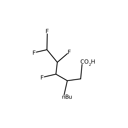 CCCCC(CC(=O)O)C(F)C(F)C(F)F